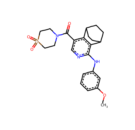 COc1cccc(Nc2ncc(C(=O)N3CCS(=O)(=O)CC3)c3c2C2CCC3CC2)c1